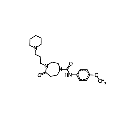 O=C1CCN(C(=O)Nc2ccc(OC(F)(F)F)cc2)CCN1CCCN1CCCCC1